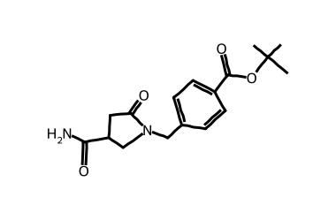 CC(C)(C)OC(=O)c1ccc(CN2CC(C(N)=O)CC2=O)cc1